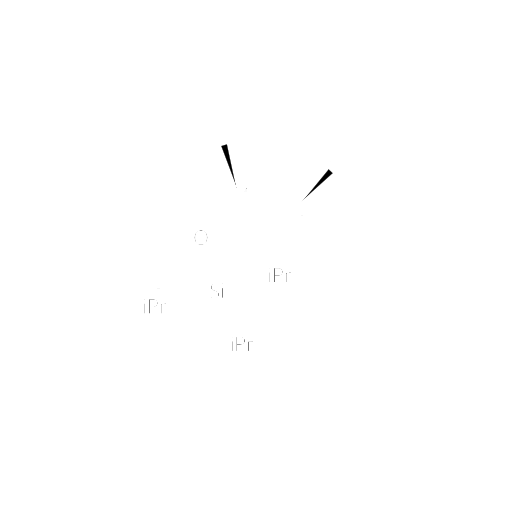 C=C[C@H](C)[C@H](C)O[Si](C(C)C)(C(C)C)C(C)C